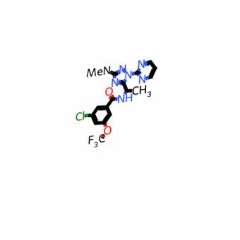 CNc1nc(C(C)NC(=O)c2cc(Cl)cc(OC(F)(F)F)c2)n(-c2ncccn2)n1